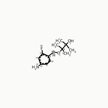 CC(C)(O)C(C)(C)OBc1ccc(N)cc1F